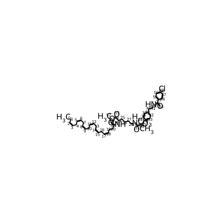 CC/C=C\C/C=C\C/C=C\C/C=C\C/C=C\C/C=C\CCC(=O)NC(CCCCNC(=O)C(C)(C)Oc1ccc(CCNC(=O)c2ccc(Cl)cc2)cc1)C(=O)OC